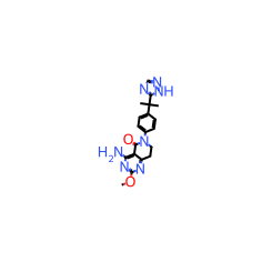 COc1nc(N)c2c(n1)CCN(c1ccc(C(C)(C)c3ncn[nH]3)cc1)C2=O